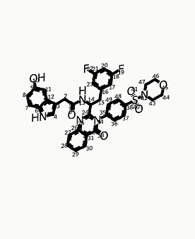 O=C(Cc1c[nH]c2ccc(O)cc12)NC(Cc1cc(F)cc(F)c1)c1nc2ccccc2c(=O)n1-c1ccc(S(=O)(=O)N2CCOCC2)cc1